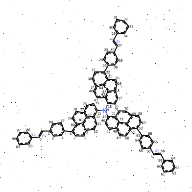 C(=C\c1ccc(-c2ccc3ccc4c(N(c5ccc6ccc7c(-c8ccc(/C=C/c9ccccc9)cc8)ccc8ccc5c6c87)c5ccc6ccc7c(-c8ccc(/C=C/c9ccccc9)cc8)ccc8ccc5c6c87)ccc5ccc2c3c54)cc1)/c1ccccc1